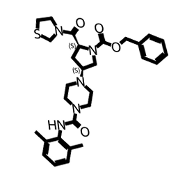 Cc1cccc(C)c1NC(=O)N1CCN([C@H]2C[C@@H](C(=O)N3CCSC3)N(C(=O)OCc3ccccc3)C2)CC1